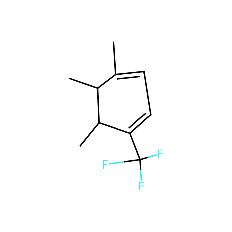 CC1=CC=C(C(F)(F)F)C(C)C1C